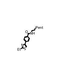 CCCC(C)CCNC(=O)c1ccc(-c2csc(CC)n2)cc1